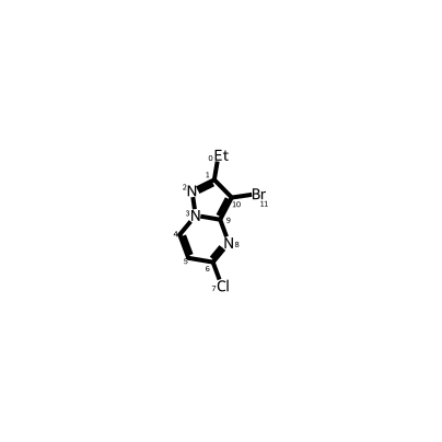 CCc1nn2ccc(Cl)nc2c1Br